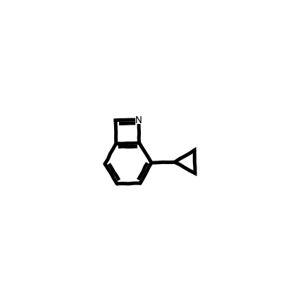 C1=Nc2c1cccc2C1CC1